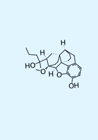 CCCC(C)(O)[C@H]1C[C@@]23CC[C@]1(OC)[C@@H]1Oc4c(O)ccc5c4[C@@]12CCC[C@@H]3C5